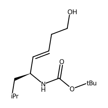 CC(C)C[C@@H](C=CCCO)NC(=O)OC(C)(C)C